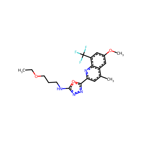 CCOCCCNc1nnc(-c2cc(C)c3cc(OC)cc(C(F)(F)F)c3n2)o1